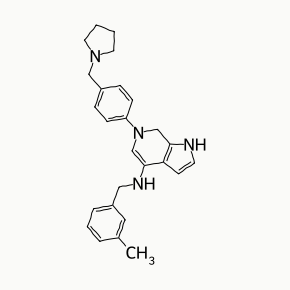 Cc1cccc(CNC2=CN(c3ccc(CN4CCCC4)cc3)Cc3[nH]ccc32)c1